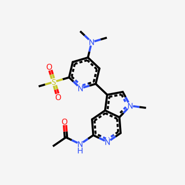 CC(=O)Nc1cc2c(-c3cc(N(C)C)cc(S(C)(=O)=O)n3)cn(C)c2cn1